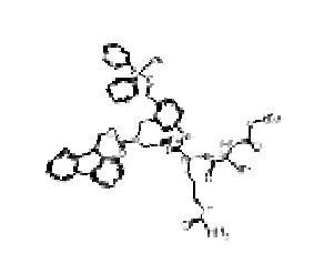 C#CCN(Cc1cc(NC(=O)[C@H](CCCNC(N)=O)NC(=O)[C@@H](NC(=O)OC(C)(C)C)C(C)C)ccc1CO[Si](c1ccccc1)(c1ccccc1)C(C)(C)C)C(=O)OCC1c2ccccc2-c2ccccc21